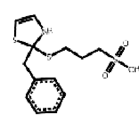 O=S(=O)(O)CCCSC1(Cc2ccccc2)NC=CS1